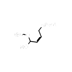 CCCCCC/C=C\C(O)OC(C)(C)C